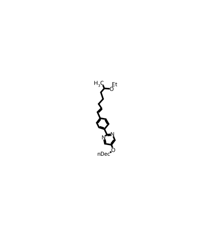 CCCCCCCCCCOc1cnc(-c2ccc(C=CCCCC(C)OCC)cc2)nc1